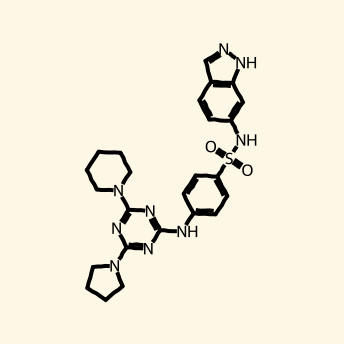 O=S(=O)(Nc1ccc2cn[nH]c2c1)c1ccc(Nc2nc(N3CCCCC3)nc(N3CCCC3)n2)cc1